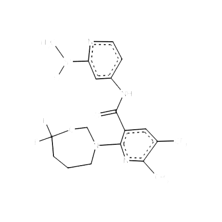 Cc1nc(N2CCCC(F)(F)CC2)c(C(=O)Nc2ccnc([S+](C)[O-])c2)cc1C(F)(F)F